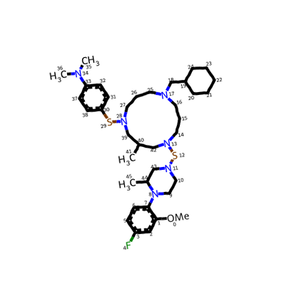 COc1cc(F)ccc1N1CCN(SN2CCCN(CC3CCCCC3)CCCN(Sc3ccc(N(C)C)cc3)CC(C)C2)CC1C